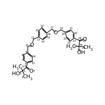 CC(C)(O)C(=O)c1ccc(COCc2ccc(COCc3ccc(C(=O)C(C)(C)O)cc3)cc2)cc1